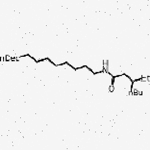 CCCCCCCCCCCCCCCCCCNC(=O)CC(CC)CCCC